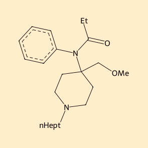 CCCCCCCN1CCC(COC)(N(C(=O)CC)c2ccccc2)CC1